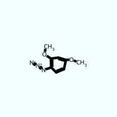 COc1ccc(N=[N+]=[N-])c(OC)c1